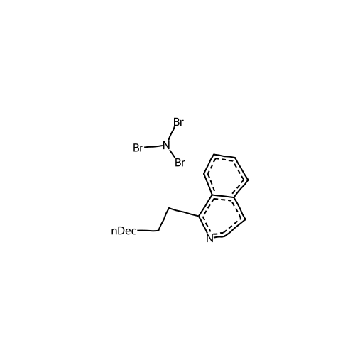 BrN(Br)Br.CCCCCCCCCCCCc1nccc2ccccc12